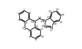 c1ccc2c(c1)Sc1ccccc1N2Cn1nnc2ccccc21